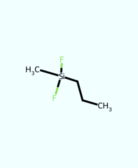 CCC[Si](C)(F)F